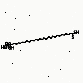 O=P(O)(O)OCCCCCCCCCCCCCCCCCCCCCCCCCCCCC(=S)S